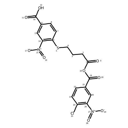 O=C(CCCSc1ccc(C(=O)O)cc1[N+](=O)[O-])OC(=O)c1ccc(Cl)c([N+](=O)[O-])c1